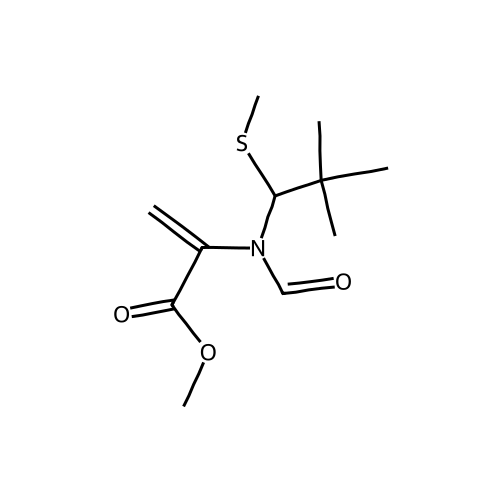 C=C(C(=O)OC)N(C=O)C(SC)C(C)(C)C